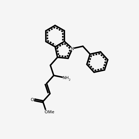 COC(=O)C=CC(N)Cc1cn(Cc2ccccc2)c2ccccc12